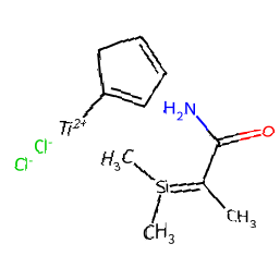 CC(C(N)=O)=[Si](C)C.[Cl-].[Cl-].[Ti+2][C]1=CC=CC1